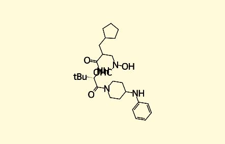 CC(C)(C)[C@H](NC(=O)C(CC1CCCC1)CN(O)C=O)C(=O)N1CCC(Nc2ccccc2)CC1